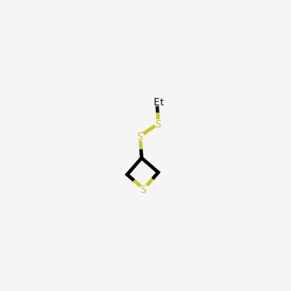 CCSSC1CSC1